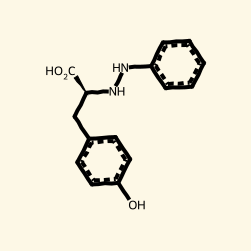 O=C(O)[C@H](Cc1ccc(O)cc1)NNc1ccccc1